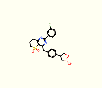 O=S1(=O)CCCc2nc(-c3cccc(Cl)c3)nc(Cc3ccc(C4COB(O)C4)cc3)c21